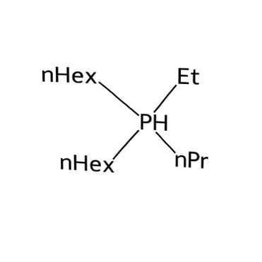 CCCCCC[PH](CC)(CCC)CCCCCC